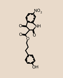 O=C1Nc2cc([N+](=O)[O-])ccc2C(=O)C1C(=O)OCCCc1ccc(O)cc1